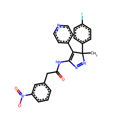 CC1(c2ccc(F)cc2)N=NC(NC(=O)Cc2cccc([N+](=O)[O-])c2)=C1c1ccncc1